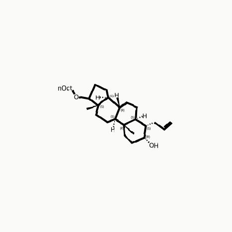 C=CC[C@@H]1[C@H](O)CC[C@@]2(C)[C@H]1CC[C@@H]1[C@@H]2CC[C@]2(C)C(OCCCCCCCC)CC[C@@H]12